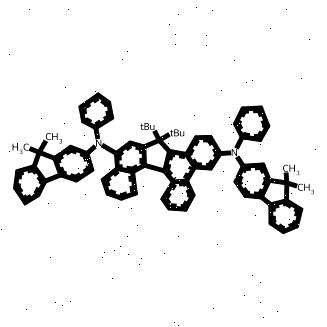 CC1(C)c2ccccc2-c2ccc(N(c3ccccc3)c3ccc4c5c(c6ccccc6c4c3)-c3c(cc(N(c4ccccc4)c4ccc6c(c4)C(C)(C)c4ccccc4-6)c4ccccc34)C5(C(C)(C)C)C(C)(C)C)cc21